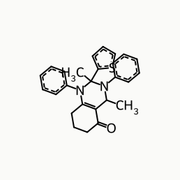 CC1C2=C(CCCC2=O)N(c2ccccc2)C(C)(c2cccs2)N1c1ccccc1